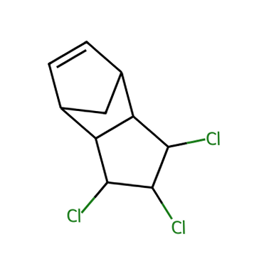 ClC1C(Cl)C2C3C=CC(C3)C2C1Cl